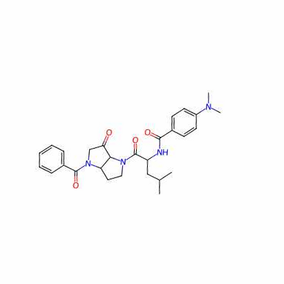 CC(C)CC(NC(=O)c1ccc(N(C)C)cc1)C(=O)N1CCC2C1C(=O)CN2C(=O)c1ccccc1